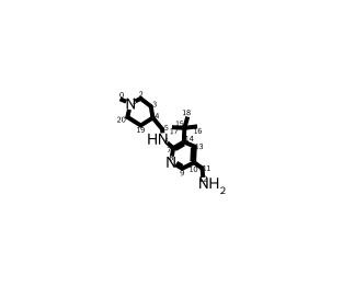 CN1CCC(CNc2ncc(CN)cc2C(C)(C)C)CC1